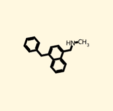 CNCc1ccc(Cc2ccccc2)c2ccccc12